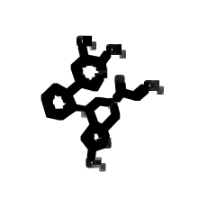 C=CC(=O)N1Cc2sc(C)cc2[C@@H](c2ccccc2-c2cnc(C)c(C)c2)C1